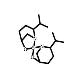 CC(C)C1CCC2CN1[Si]1(O2)OC2CCC(C(C)C)N1C2